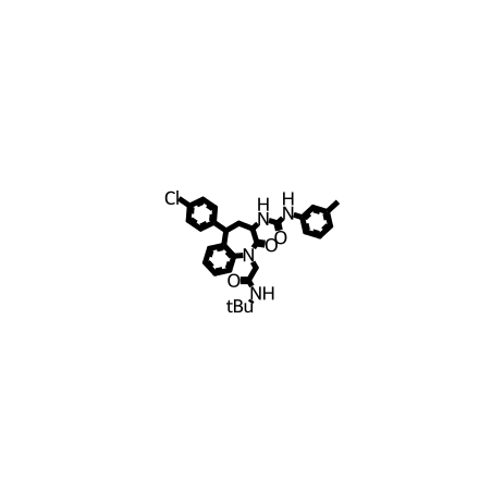 Cc1cccc(NC(=O)NC2CC(c3ccc(Cl)cc3)c3ccccc3N(CC(=O)NC(C)(C)C)C2=O)c1